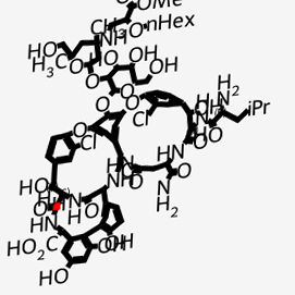 CCCCCCOC(CNC1(C)CC(OC2C(Oc3c4cc5cc3Oc3ccc(cc3Cl)[C@@H](O)[C@@H]3NC(=O)C(NC(=O)C5NC(=O)CC(C(N)=O)NC(=O)[C@@H](NC(=O)[C@H](N)CC(C)C)C(O)c5ccc(c(Cl)c5)O4)c4ccc(O)c(c4)-c4c(O)cc(O)cc4C(C(=O)O)NC3=O)OC(CO)C(O)C2O)OC(C)(CO)C1)C(=O)OC